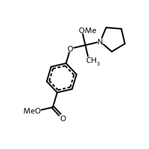 COC(=O)c1ccc(OC(C)(OC)N2CCCC2)cc1